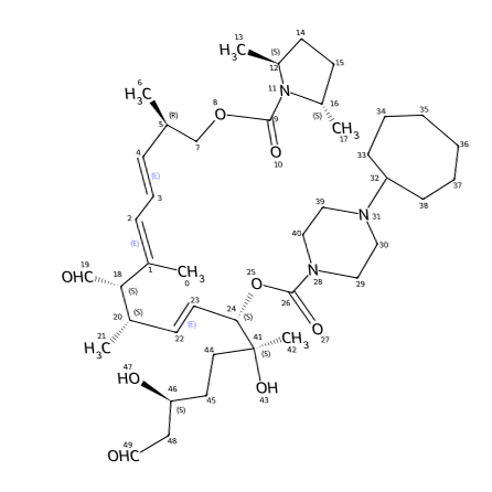 C/C(=C\C=C\[C@@H](C)COC(=O)N1[C@@H](C)CC[C@@H]1C)[C@@H](C=O)[C@@H](C)/C=C/[C@H](OC(=O)N1CCN(C2CCCCCC2)CC1)[C@@](C)(O)CC[C@H](O)CC=O